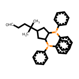 CC(C)(CCC=O)C1CC(P(c2ccccc2)c2ccccc2)C(P(c2ccccc2)c2ccccc2)C1